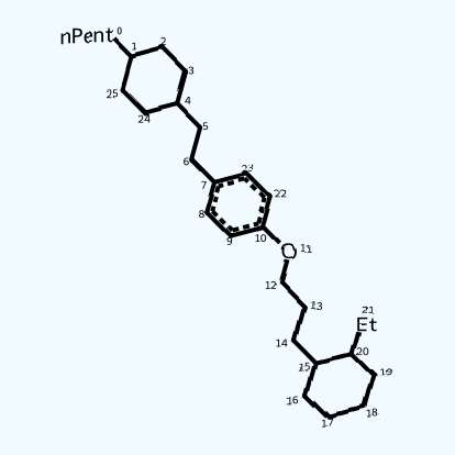 CCCCCC1CCC(CCc2ccc(OCCCC3CCCCC3CC)cc2)CC1